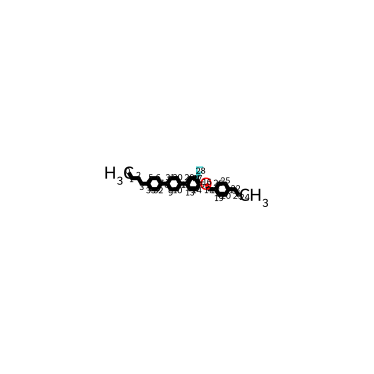 CCCCC1CCC(C2CCC(c3ccc(OCC4C=CC(CCC)CC4)c(F)c3)CC2)CC1